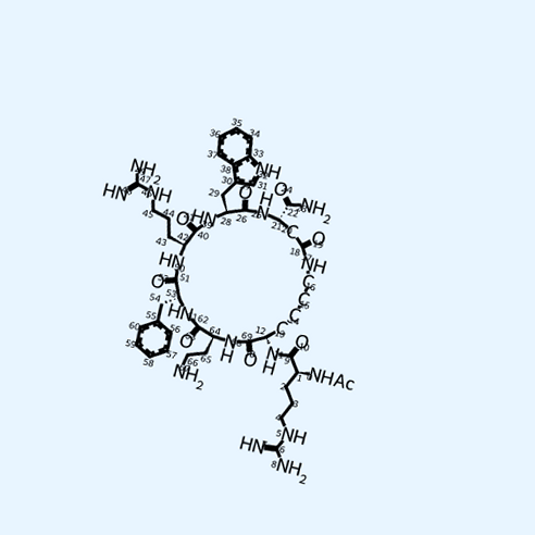 CC(=O)N[C@@H](CCCNC(=N)N)C(=O)N[C@H]1CCCCNC(=O)C[C@@H](C(N)=O)NC(=O)[C@H](Cc2c[nH]c3ccccc23)NC(=O)[C@H](CCCNC(=N)N)NC(=O)[C@@H](Cc2ccccc2)NC(=O)[C@H](CCN)NC1=O